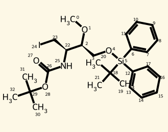 CO[C@@H](CO[Si](c1ccccc1)(c1ccccc1)C(C)(C)C)[C@H](CI)NC(=O)OC(C)(C)C